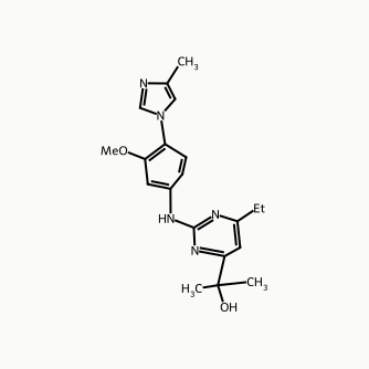 CCc1cc(C(C)(C)O)nc(Nc2ccc(-n3cnc(C)c3)c(OC)c2)n1